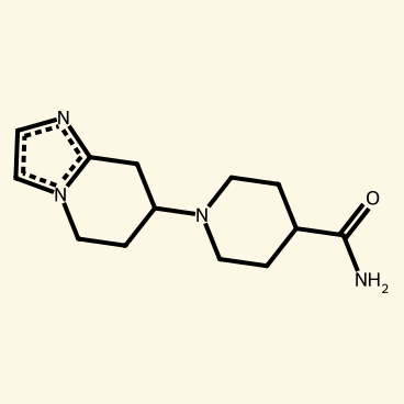 NC(=O)C1CCN(C2CCn3ccnc3C2)CC1